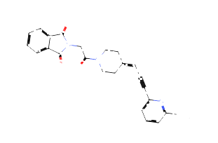 Cc1cccc(C#CC=C2CCN(C(=O)CN3C(=O)c4ccccc4C3=O)CC2)n1